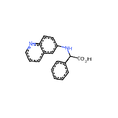 O=C(O)C(Nc1ccc2ncccc2c1)c1ccccc1